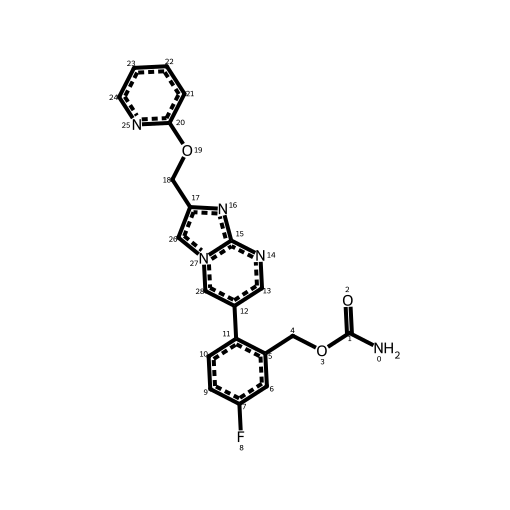 NC(=O)OCc1cc(F)ccc1-c1cnc2nc(COc3ccccn3)cn2c1